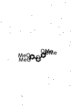 COc1ccc(C2CCCC(c3ccc(OC)c(OC)c3)O2)cc1OC